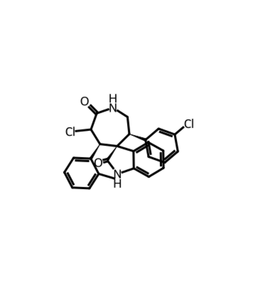 Cc1ccccc1[C@H]1C(Cl)C(=O)NC[C@@H](c2cccc(Cl)c2)[C@@]12C(=O)Nc1ccccc12